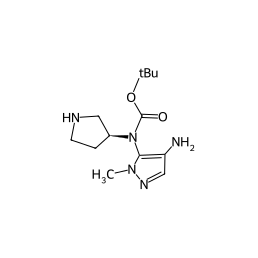 Cn1ncc(N)c1N(C(=O)OC(C)(C)C)[C@H]1CCNC1